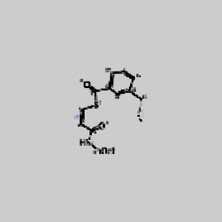 CCCCCCCCNC(=O)/C=C\SC(=O)c1cccc(CCl)c1